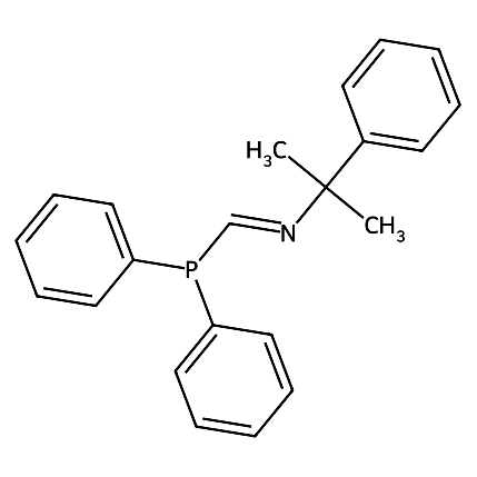 CC(C)(/N=C/P(c1ccccc1)c1ccccc1)c1ccccc1